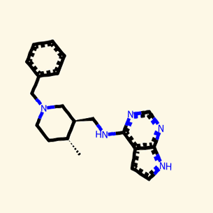 C[C@@H]1CCN(Cc2ccccc2)C[C@H]1CNc1ncnc2[nH]ccc12